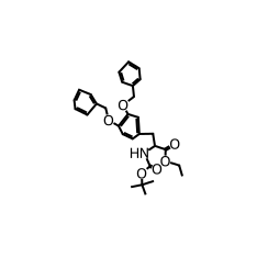 CCOC(=O)C(Cc1ccc(OCc2ccccc2)c(OCc2ccccc2)c1)NC(=O)OC(C)(C)C